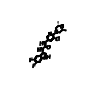 C[C@H]1CN(c2ncc(NC(=O)Nc3c[nH]c4cc(F)c(F)cc34)cc2Cl)C[C@H](C)O1